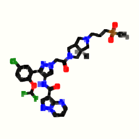 CS(=O)(=O)CCCN1CC2CN(C(=O)Cn3cc(NC(=O)c4cnn5cccnc45)c(-c4cc(Cl)ccc4OC(F)F)n3)C[C@@H]2C1